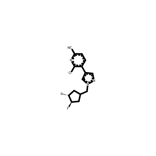 N#Cc1ccc(-c2cnn(CC3C[C@@H](F)[C@H](F)C3)c2)c(Cl)n1